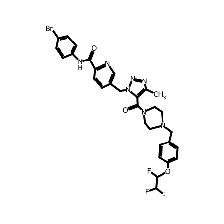 Cc1nnn(Cc2ccc(C(=O)Nc3ccc(Br)cc3)nc2)c1C(=O)N1CCN(Cc2ccc(OC(F)C(F)F)cc2)CC1